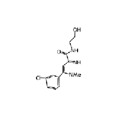 CN/C(=C\C(=N)C(=O)NCCO)c1cccc(Cl)c1